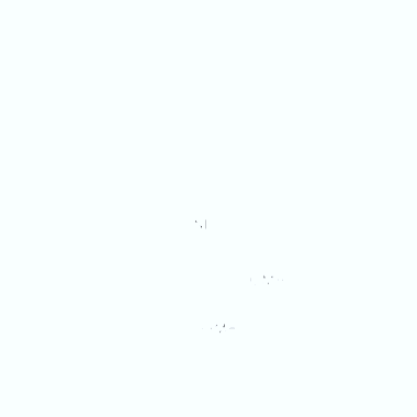 COC(CNC(C)c1ccccc1)OC